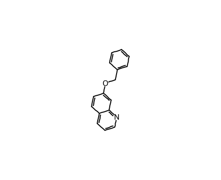 c1ccc(COc2ccc3cccnc3c2)cc1